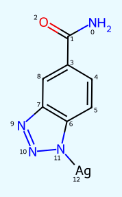 NC(=O)c1ccc2c(c1)nn[n]2[Ag]